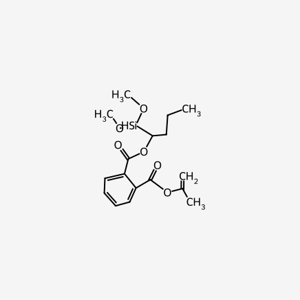 C=C(C)OC(=O)c1ccccc1C(=O)OC(CCC)[SiH](OC)OC